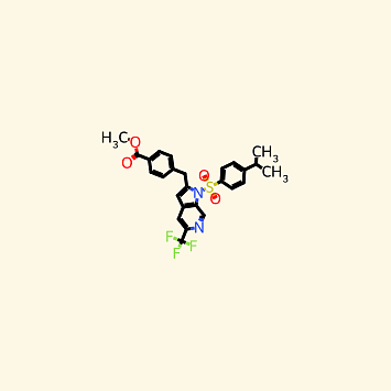 COC(=O)c1ccc(Cc2cc3cc(C(F)(F)F)ncc3n2S(=O)(=O)c2ccc(C(C)C)cc2)cc1